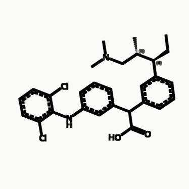 CC[C@@H](c1cccc(C(C(=O)O)c2cccc(Nc3c(Cl)cccc3Cl)c2)c1)[C@@H](C)CN(C)C